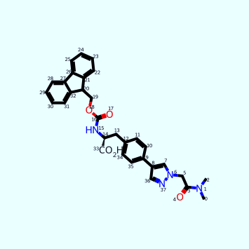 CN(C)C(=O)Cn1cc(-c2ccc(C[C@H](NC(=O)OCC3c4ccccc4-c4ccccc43)C(=O)O)cc2)cn1